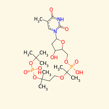 Cc1cn(C2CC(O)C(COP(=O)(O)C(C)(C)OCCC(C)(C)OP(=O)(O)OC(C)(C)C)O2)c(=O)[nH]c1=O